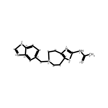 CC(=O)Nc1nc2c(s1)CCN(Cc1ccc3scnc3c1)CC2